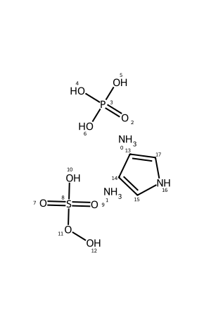 N.N.O=P(O)(O)O.O=S(=O)(O)OO.c1cc[nH]c1